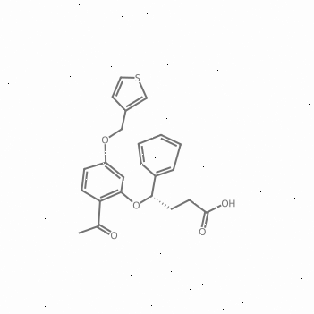 CC(=O)c1ccc(OCc2ccsc2)cc1O[C@@H](CCC(=O)O)c1ccccc1